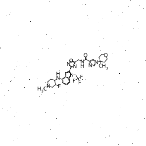 CN1CC[C@@H](Nc2cccc3c2cc(-c2noc(CNC(=O)c4cn(C5(C)CCOCC5)cn4)n2)n3CC(F)(F)F)[C@@H](F)C1